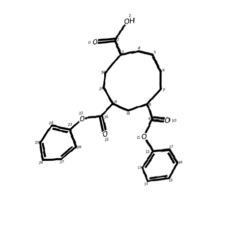 O=C(O)C1CCCCC(C(=O)Oc2ccccc2)CC(C(=O)Oc2ccccc2)CC1